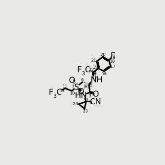 N#CC1(NC(=O)[C@H](CS(=O)(=O)CCC(F)(F)F)N[C@@H](c2ccc(F)cc2)C(F)(F)F)CC1